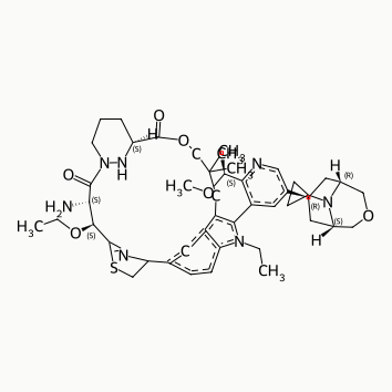 CCO[C@@H]1C2=NC(CS2)c2ccc3c(c2)c(c(-c2cc([C@@H]4C[C@H]5COC[C@@H](C4)N5C4CC4)cnc2[C@H](C)OC)n3CC)CC(C)(C)COC(=O)[C@@H]2CCCN(N2)C(=O)[C@H]1N